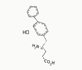 Cl.N[C@@H](CCC(=O)O)Cc1ccc(-c2ccccc2)cc1